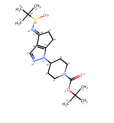 CC(C)(C)OC(=O)N1CCC(n2ncc3c2CC/C3=N\[S+]([O-])C(C)(C)C)CC1